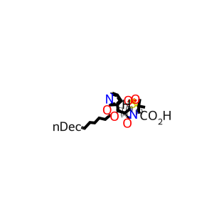 CCCCCCCCCCCCCCCC(=O)O[C@H](c1cccnc1)[C@@H]1C(=O)N2[C@@H](C(=O)O)C(C)(C)S(=O)(=O)[C@H]12